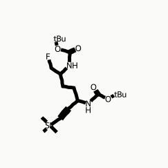 CC(C)(C)OC(=O)NC(C#C[Si](C)(C)C)CCC(CF)NC(=O)OC(C)(C)C